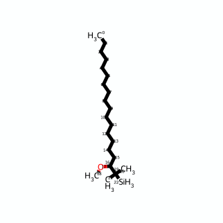 CCCCCCCCCCCCCCCCC(OC)C(C)(C)[SiH3]